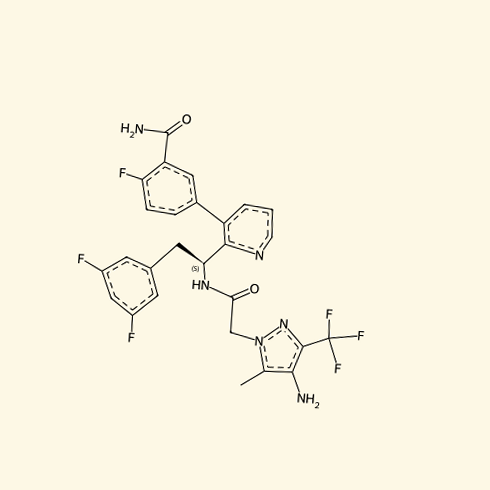 Cc1c(N)c(C(F)(F)F)nn1CC(=O)N[C@@H](Cc1cc(F)cc(F)c1)c1ncccc1-c1ccc(F)c(C(N)=O)c1